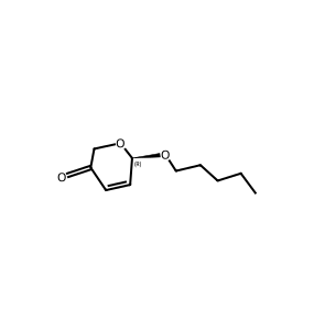 CCCCCO[C@H]1C=CC(=O)CO1